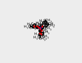 Cc1cc(C)c(-c2ccc(N(c3ccc(-c4ccc(C(C)(C)C)cc4)cc3)c3ccc(-c4cc5c(cc4C)C(C)(C)CC54CC(C)(C)c5cc(C)c(-c6ccc(N(c7ccc(-c8ccc(C(C)(C)C)cc8)cc7)c7ccc(-c8c(C)cc(C)cc8C)cc7)c(C)c6)cc54)cc3C)cc2)c(C)c1